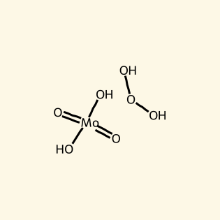 OOO.[O]=[Mo](=[O])([OH])[OH]